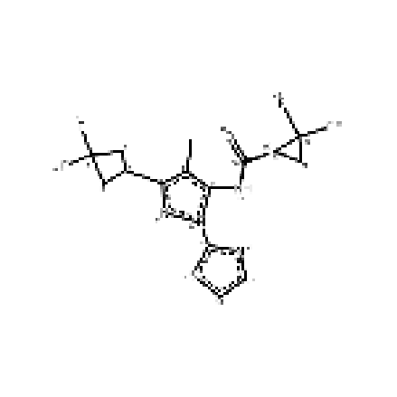 Cc1c(C2CC(F)(F)C2)nn(-c2nccs2)c1NC(=O)[C@@H]1CC1(F)F